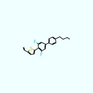 C=Cc1ccc(-c2c(F)cc(-c3ccc(CCCC)cc3)cc2F)s1